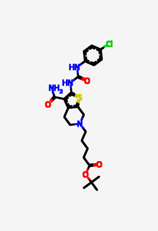 CC(C)(C)OC(=O)CCCCN1CCc2c(sc(NC(=O)Nc3ccc(Cl)cc3)c2C(N)=O)C1